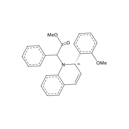 COC(=O)C(c1ccccc1)N1c2ccccc2C=C[C@H]1c1ccccc1OC